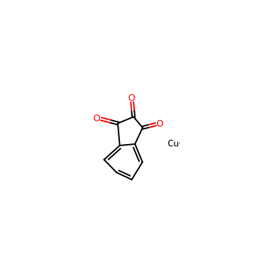 O=c1c(=O)c2ccccc2c1=O.[Cu]